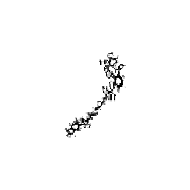 O=C(COc1cccc2c1C(=O)N(C1CCC(=O)NC1=O)C2=O)NCCOCCOCCNC(=O)c1ccc2c(c1)CCC2